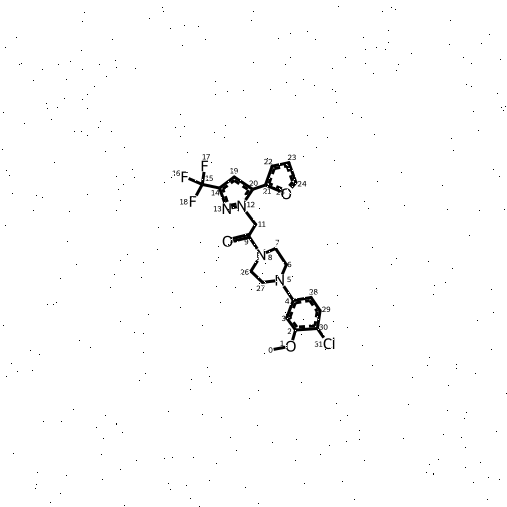 COc1cc(N2CCN(C(=O)Cn3nc(C(F)(F)F)cc3-c3ccco3)CC2)ccc1Cl